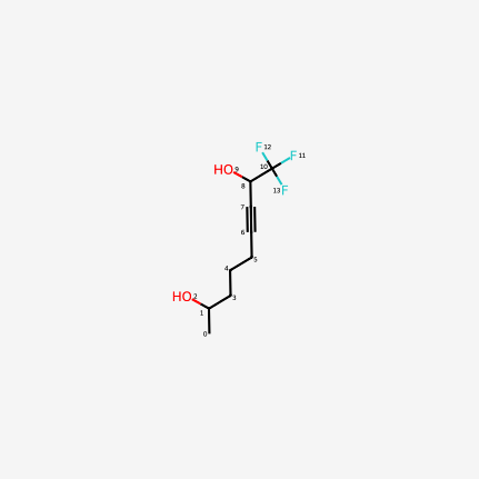 CC(O)CCCC#CC(O)C(F)(F)F